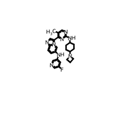 Cc1cnc(NC2CCC(N3CCC3)CC2)nc1-c1cnc2ccc(Nc3cncc(F)c3)cn12